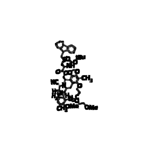 C=CCOc1c(C)c2c(c3c1CC1[C@H]4c5c(cc(C)c(OC)c5OCOCCOC)C[C@H]([C@H](C#N)N1[C@H]3COC(=O)[C@@H](CSCC1c3ccccc3-c3ccccc31)NC(=O)OC(C)(C)C)N4C)OCO2